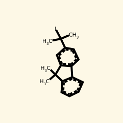 CC(C)(I)c1ccc2c(c1)C(C)(C)c1ccccc1-2